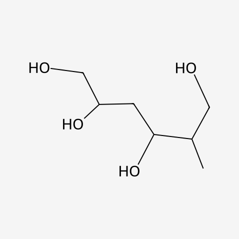 CC(CO)C(O)CC(O)CO